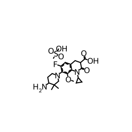 COc1c(N2CCC(N)C(C)(C)C2)c(F)cc2c1N(C1CC1)C(=O)C(C(=O)O)C2.CS(=O)(=O)O